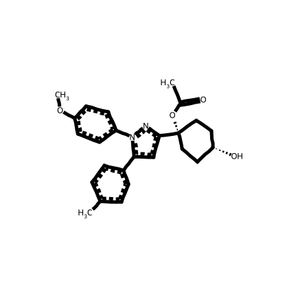 COc1ccc(-n2nc([C@]3(OC(C)=O)CC[C@@H](O)CC3)cc2-c2ccc(C)cc2)cc1